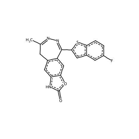 CC1=NN=C(c2cc3cc(F)ccc3s2)c2cc3oc(=O)[nH]c3cc2C1